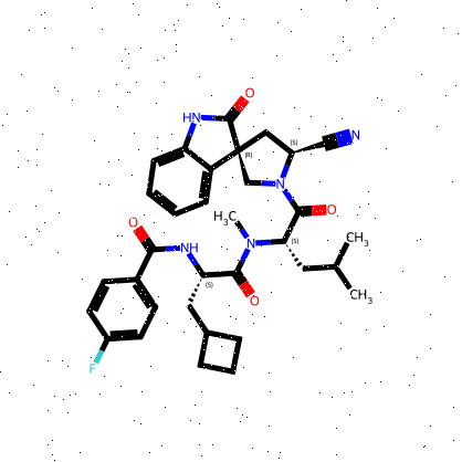 CC(C)C[C@@H](C(=O)N1C[C@]2(C[C@H]1C#N)C(=O)Nc1ccccc12)N(C)C(=O)[C@H](CC1CCC1)NC(=O)c1ccc(F)cc1